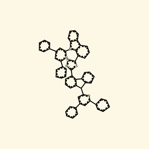 c1ccc(-c2cc(-c3ccccc3)nc(C3c4ccccc4-c4c(-c5nnc(-c6cccc7c8ccccc8n(-c8cc(-c9ccccc9)cc(-c9ccccc9)n8)c67)s5)cccc43)c2)cc1